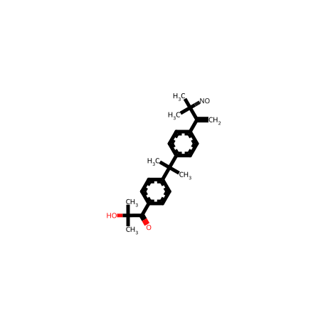 C=C(c1ccc(C(C)(C)c2ccc(C(=O)C(C)(C)O)cc2)cc1)C(C)(C)N=O